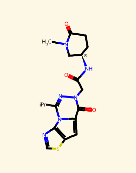 CC(C)c1nn(CC(=O)N[C@@H]2CCC(=O)N(C)C2)c(=O)c2cc3scnc3n12